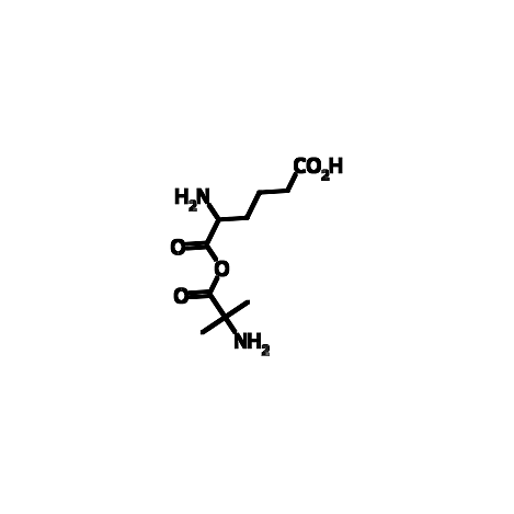 CC(C)(N)C(=O)OC(=O)C(N)CCCC(=O)O